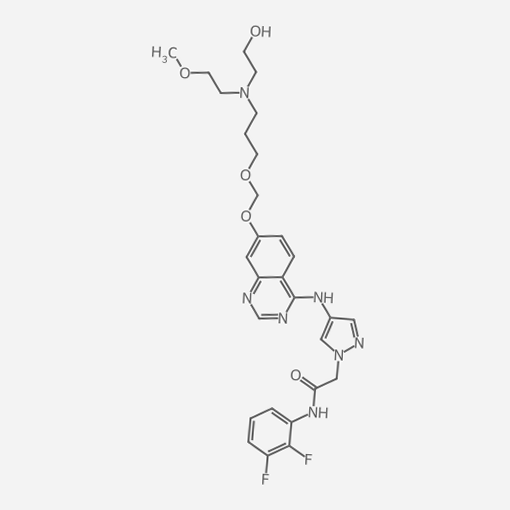 COCCN(CCO)CCCOCOc1ccc2c(Nc3cnn(CC(=O)Nc4cccc(F)c4F)c3)ncnc2c1